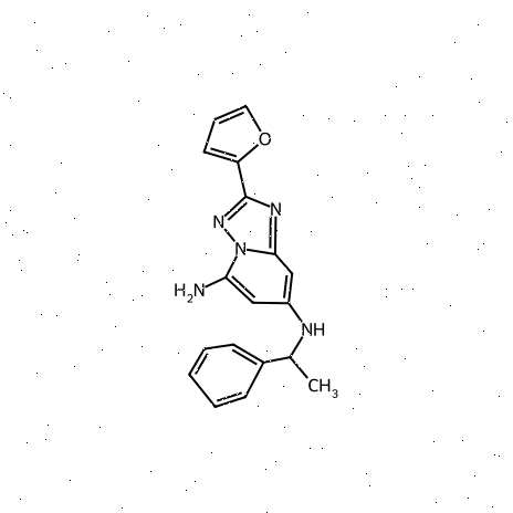 CC(Nc1cc(N)n2nc(-c3ccco3)nc2c1)c1ccccc1